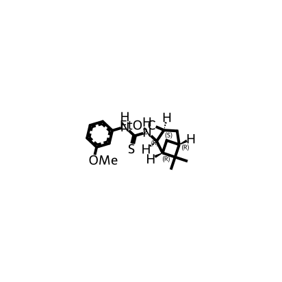 CCOC(=O)[C@H]1C[C@H]2C[C@@H]([C@H]1NC(=S)Nc1cccc(OC)c1)C2(C)C